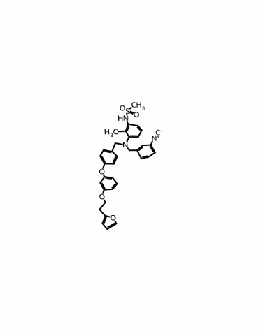 [C-]#[N+]c1cccc(CN(Cc2ccc(Oc3cccc(OCCc4ccco4)c3)cc2)c2cccc(NS(C)(=O)=O)c2C)c1